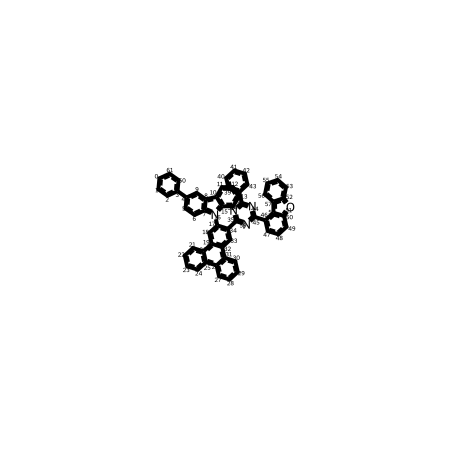 c1ccc(-c2ccc3c(c2)c2ccccc2n3-c2cc3c4ccccc4c4ccccc4c3cc2-c2nc(-c3ccccc3)nc(-c3cccc4oc5ccccc5c34)n2)cc1